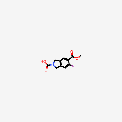 COC(=O)c1cc2c(cc1I)CN(C(=O)O)C2